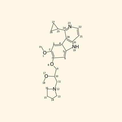 COc1cc2c(cc1OCC(CN1CCCC1)OC)[nH]c1ccnc(C3CC3)c12